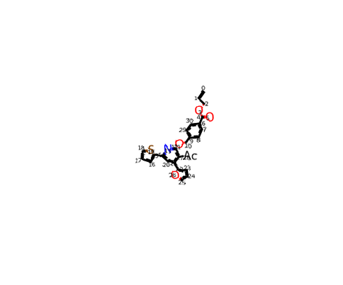 C=CCOC(=O)c1ccc(COc2nc(-c3cccs3)cc(-c3ccco3)c2C(C)=O)cc1